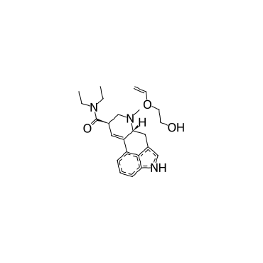 C=COCCO.CCN(CC)C(=O)[C@@H]1C=C2c3cccc4[nH]cc(c34)C[C@H]2N(C)C1